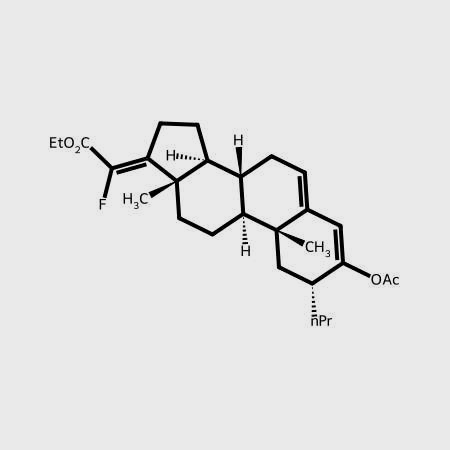 CCC[C@@H]1C[C@@]2(C)C(=CC[C@@H]3[C@@H]2CC[C@]2(C)C(=C(F)C(=O)OCC)CC[C@@H]32)C=C1OC(C)=O